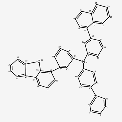 c1ccc(-c2ccc(N(c3cccc(-c4cccc5ccccc45)c3)c3cccc(-c4cccc5c4oc4ccccc45)c3)cc2)cc1